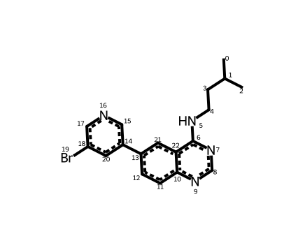 CC(C)CCNc1ncnc2ccc(-c3cncc(Br)c3)cc12